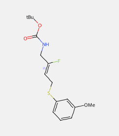 COc1cccc(SC/C=C(\F)CNC(=O)OC(C)(C)C)c1